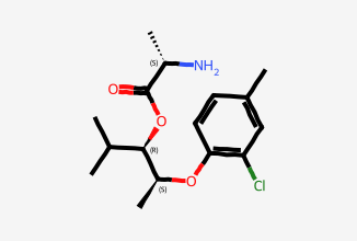 Cc1ccc(O[C@@H](C)[C@H](OC(=O)[C@H](C)N)C(C)C)c(Cl)c1